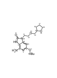 CCCCOc1nc(N)c2[nH]c(=O)n(CCOCC3CCCO3)c2n1